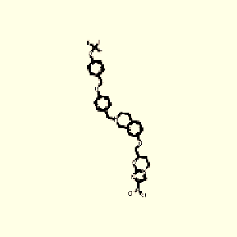 O=[N+]([O-])c1cn2c(n1)OC(COc1ccc3c(c1)CN(Cc1ccc(OCc4ccc(OC(F)(F)F)cc4)cc1)CC3)CC2